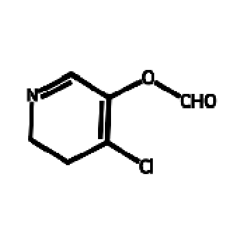 O=COC1=C(Cl)CCN=C1